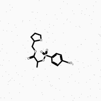 CC(OS(=O)(=O)c1ccc([N+](=O)[O-])cc1)C(=O)OCC1CCCO1